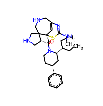 CCC(CC)[C@@H]1C[C@H](c2ccccc2)CCN1C(=O)[C@@H]1CNC[C@]12CNCC1=C[C@H]2SC(NC)=N1